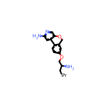 CC(C)CC(N)COc1ccc2c(c1)COc1cnc(N)cc1-2